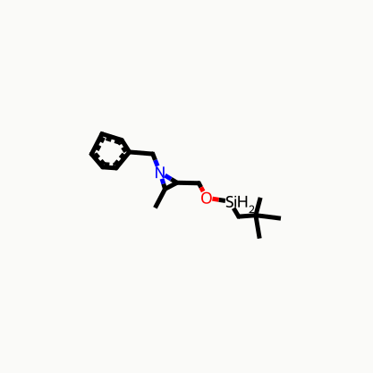 CC1C(CO[SiH2]CC(C)(C)C)N1Cc1ccccc1